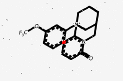 O=c1cccc2n1CC1CCC[N+]2(c2cccc(OC(F)(F)F)c2)C1